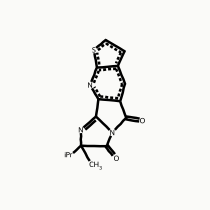 CC(C)C1(C)N=C2c3nc4sccc4cc3C(=O)N2C1=O